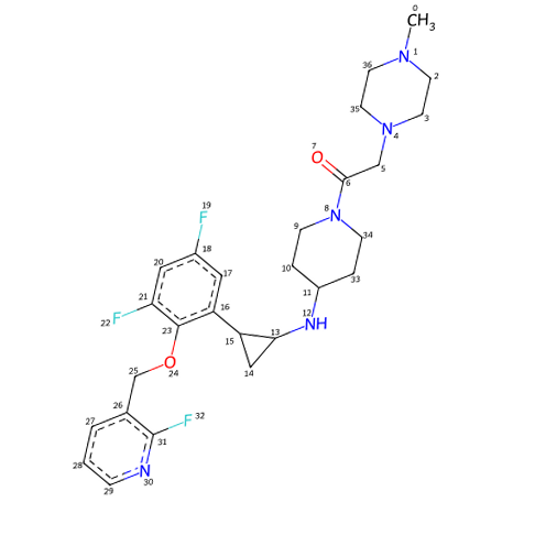 CN1CCN(CC(=O)N2CCC(NC3CC3c3cc(F)cc(F)c3OCc3cccnc3F)CC2)CC1